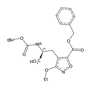 CCOc1noc(C(=O)OCc2ccccc2)c1C[C@H](NC(=O)OC(C)(C)C)C(=O)O